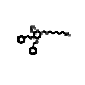 CO[C@@H]1O[C@H](COCCCCCN)C[C@H](OCc2ccccc2)[C@H]1OCc1ccccc1